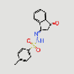 Cc1ccc(S(=O)(=O)NN=C2CC(=O)c3ccccc32)cc1